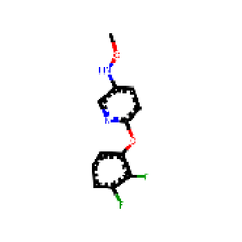 CONc1ccc(Oc2cccc(F)c2F)nc1